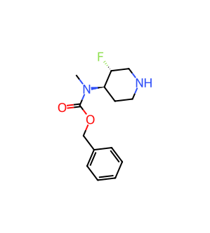 CN(C(=O)OCc1ccccc1)[C@@H]1CCNC[C@H]1F